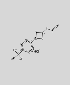 Cl.O=CCC1CN(c2ncc(C(F)(F)F)cn2)C1